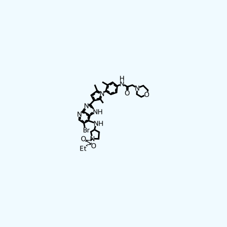 CCS(=O)(=O)N1CCC(Nc2c(Br)cnc3nc(-c4cc(C)n(-c5ccc(NC(=O)CN6CCOCC6)cc5C)c4C)[nH]c23)C1